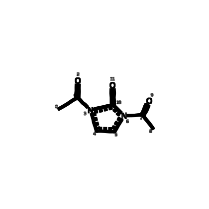 CC(=O)n1ccn(C(C)=O)c1=O